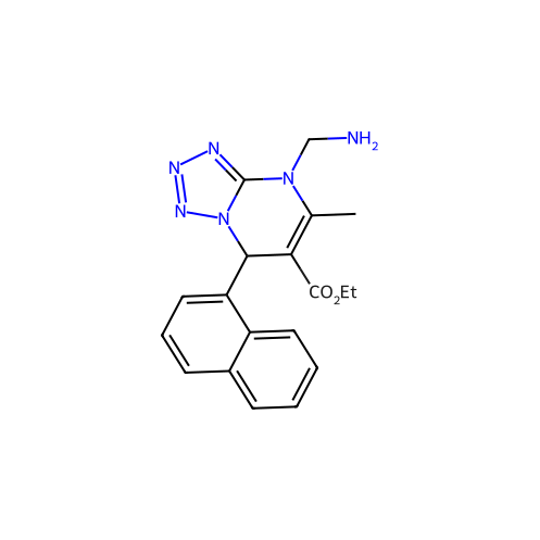 CCOC(=O)C1=C(C)N(CN)c2nnnn2C1c1cccc2ccccc12